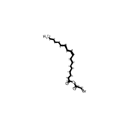 CCCCCCCC/C=C\CCCCCCCC(=O)OC(=O)CBr